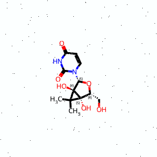 CC1(C)[C@]2(O)[C@@H](CO)O[C@@H](n3ccc(=O)[nH]c3=O)[C@@]12O